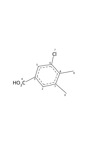 Cc1cc(C(=O)O)cc(Cl)c1C